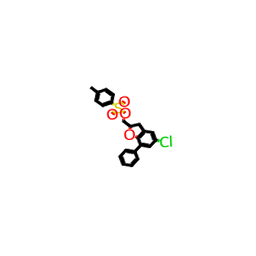 Cc1ccc(S(=O)(=O)OCC2Cc3cc(Cl)cc(-c4ccccc4)c3O2)cc1